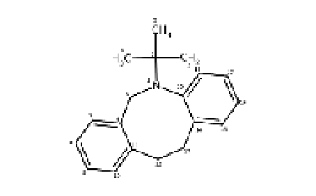 CC(C)(C)N1Cc2ccccc2CCc2ccccc21